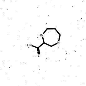 NC(=O)C1C[N]CCCN1